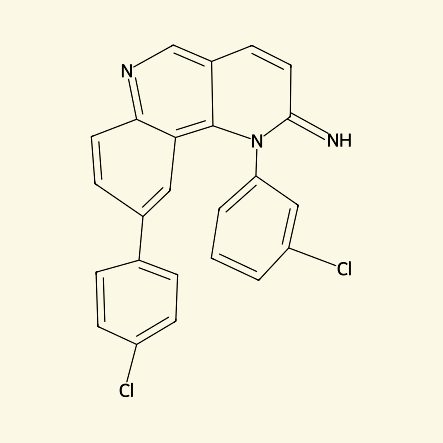 N=c1ccc2cnc3ccc(-c4ccc(Cl)cc4)cc3c2n1-c1cccc(Cl)c1